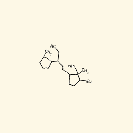 CCCC1(C)C(CCC(CC#N)C2CCCC2C)CCC1C(C)CC